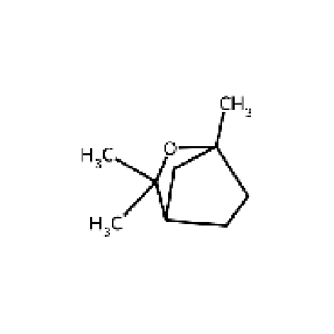 CC12CCC(C1)C(C)(C)O2